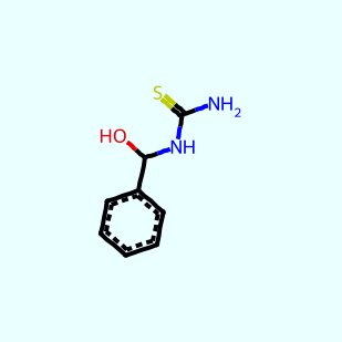 NC(=S)NC(O)c1ccccc1